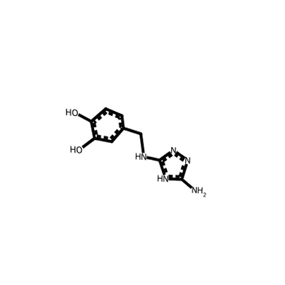 Nc1nnc(NCc2ccc(O)c(O)c2)[nH]1